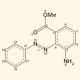 COC(=O)c1cccc(N)c1/N=N/c1ccccc1